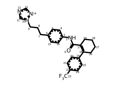 O=C(Nc1ccc(CCCn2cncn2)cc1)C1=C(c2ccc(C(F)(F)F)cc2)CCCC1